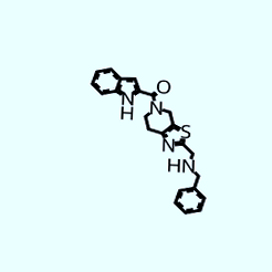 O=C(c1cc2ccccc2[nH]1)N1CCc2nc(CNCc3ccccc3)sc2C1